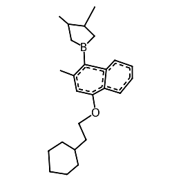 Cc1cc(OCCC2CCCCC2)c2ccccc2c1B1CC(C)C(C)C1